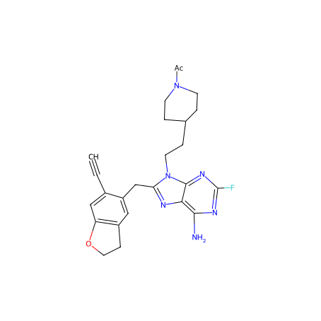 C#Cc1cc2c(cc1Cc1nc3c(N)nc(F)nc3n1CCC1CCN(C(C)=O)CC1)CCO2